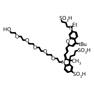 CCN(CCCS(=O)(=O)O)c1ccc2c(c1)OC(/C=C/C=C1/N(CCOCCOCCOCCOCCOCCO)c3ccc(S(=O)(=O)O)cc3C1(C)CCCS(=O)(=O)O)C=C2C(C)(C)C